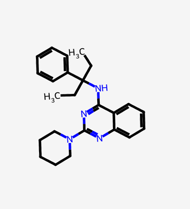 CCC(CC)(Nc1nc(N2CCCCC2)nc2ccccc12)c1ccccc1